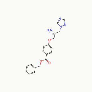 N[C@@H](COc1ccc(C(=O)OCc2ccccc2)cc1)Cn1cncn1